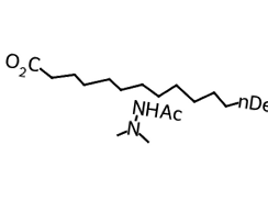 CC(=O)NN(C)C.CCCCCCCCCCCCCCCCCCCCCC(=O)O